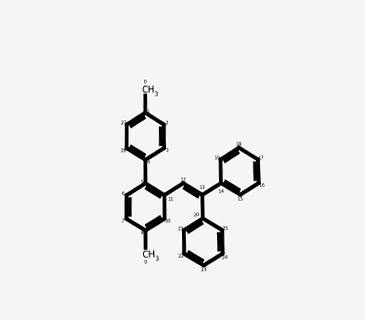 Cc1ccc(-c2ccc(C)cc2C=C(c2ccccc2)c2ccccc2)cc1